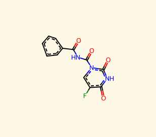 O=C(NC(=O)n1cc(F)c(=O)[nH]c1=O)c1ccccc1